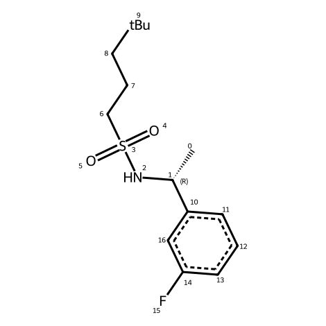 C[C@@H](NS(=O)(=O)CCCC(C)(C)C)c1cccc(F)c1